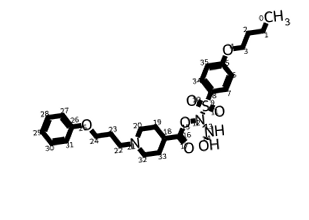 CCCCOc1ccc(S(=O)(=O)N(NO)OC(=O)C2CCN(CCCOc3ccccc3)CC2)cc1